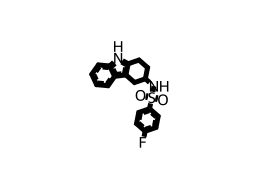 O=S(=O)(NC1CCc2[nH]c3ccccc3c2C1)c1ccc(F)cc1